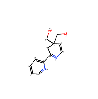 OCC1(CO)C=CN=C(c2ccccn2)C1